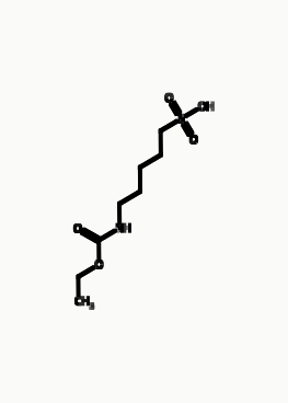 CCOC(=O)NCCCCCS(=O)(=O)O